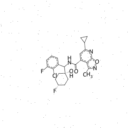 Cc1noc2nc(C3CC3)cc(C(=O)NC(c3cccc(F)c3Cl)[C@]3(O)CC[C@@H](F)CC3)c12